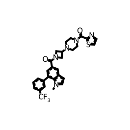 Cn1ccc2cc(C(=O)N3CC(N4CCN(C(=O)c5nccs5)CC4)C3)cc(-c3cccc(C(F)(F)F)c3)c21